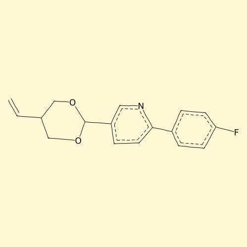 C=CC1COC(c2ccc(-c3ccc(F)cc3)nc2)OC1